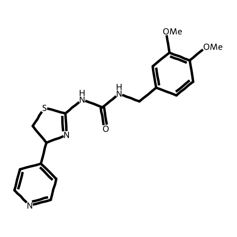 COc1ccc(CNC(=O)NC2=NC(c3ccncc3)CS2)cc1OC